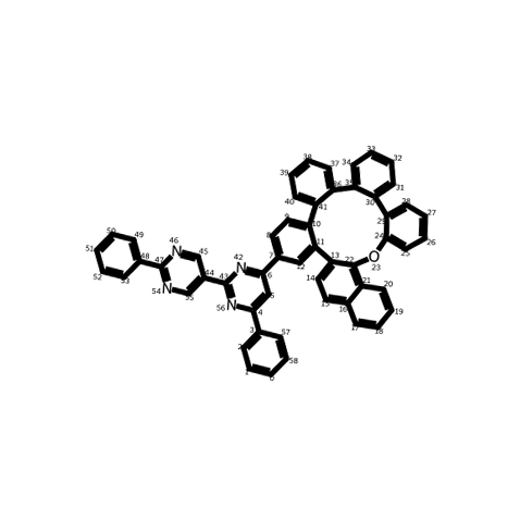 c1ccc(-c2cc(-c3ccc4c(c3)-c3ccc5ccccc5c3Oc3ccccc3-c3ccccc3-c3ccccc3-4)nc(-c3cnc(-c4ccccc4)nc3)n2)cc1